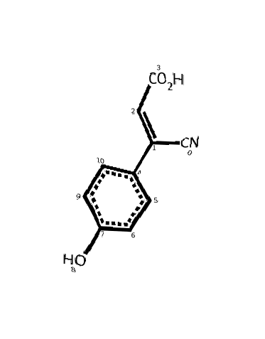 N#C/C(=C\C(=O)O)c1ccc(O)cc1